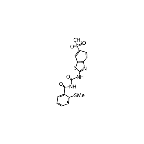 CSc1ccccc1C(=O)NC(=O)Nc1nc2ccc(S(C)(=O)=O)cc2s1